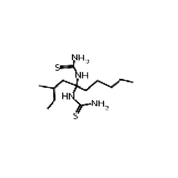 CCCCCC(CC(C)CC)(NC(N)=S)NC(N)=S